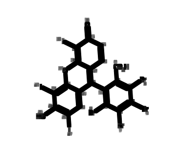 O=C(O)c1c(Br)c(Br)c(Br)c(Br)c1-c1c2ccc(=O)c(I)c-2oc2c(I)c(O)c(I)cc12